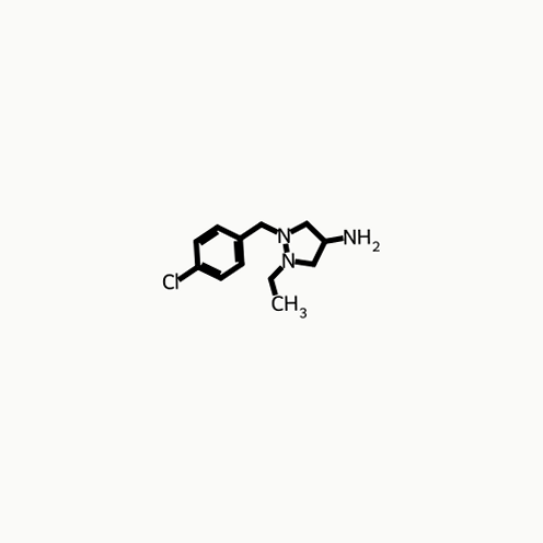 CCN1CC(N)CN1Cc1ccc(Cl)cc1